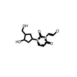 O=c1ccn(C2CC(O)C(CO)C2)c(=O)n1C=CCl